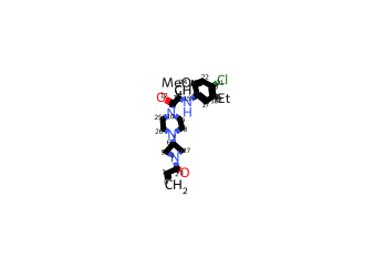 C=CC(=O)N1CC(N2CCN(C(=O)[C@H](C)Nc3cc(CC)c(Cl)cc3OC)CC2)C1